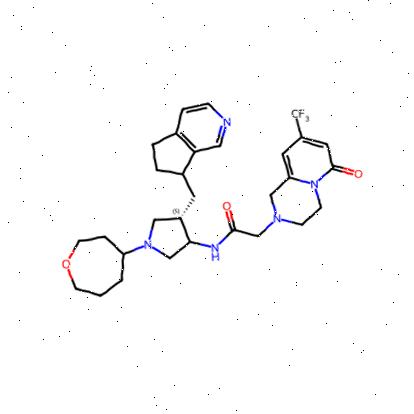 O=C(CN1CCn2c(cc(C(F)(F)F)cc2=O)C1)NC1CN(C2CCCOCC2)C[C@@H]1CC1CCc2ccncc21